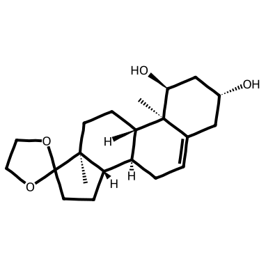 C[C@]12C(=CC[C@@H]3[C@@H]1CC[C@@]1(C)[C@H]3CCC13OCCO3)C[C@@H](O)C[C@@H]2O